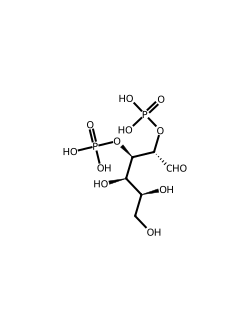 O=C[C@@H](OP(=O)(O)O)[C@H](OP(=O)(O)O)[C@H](O)[C@@H](O)CO